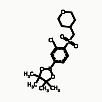 CC1(C)OB(c2ccc(S(=O)(=O)CC3CCOCC3)c(Cl)c2)OC1(C)C